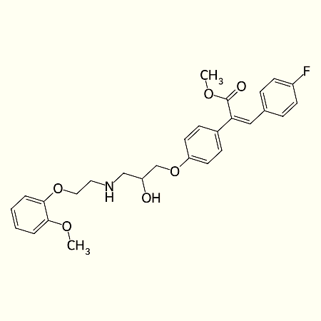 COC(=O)C(=Cc1ccc(F)cc1)c1ccc(OCC(O)CNCCOc2ccccc2OC)cc1